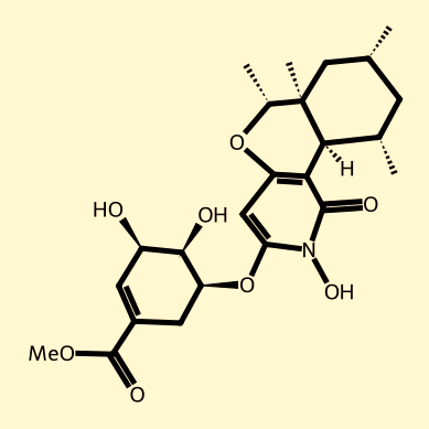 COC(=O)C1=C[C@@H](O)[C@@H](O)[C@@H](Oc2cc3c(c(=O)n2O)[C@@H]2[C@@H](C)C[C@@H](C)C[C@]2(C)[C@@H](C)O3)C1